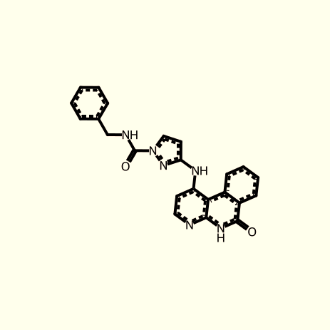 O=C(NCc1ccccc1)n1ccc(Nc2ccnc3[nH]c(=O)c4ccccc4c23)n1